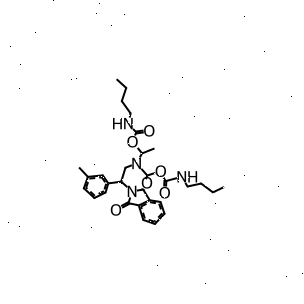 CCCCNC(=O)OC(C)N(CC(c1cccc(C)c1)N1C(=O)c2ccccc2C1=O)C(C)OC(=O)NCCCC